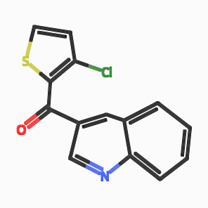 O=C(c1cnc2ccccc2c1)c1sccc1Cl